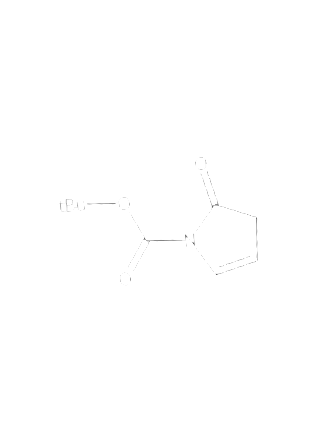 CC(C)(C)OC(=O)N1C=CCC1=O